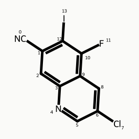 N#Cc1cc2ncc(Cl)cc2c(F)c1I